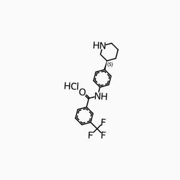 Cl.O=C(Nc1ccc([C@@H]2CCCNC2)cc1)c1cccc(C(F)(F)F)c1